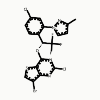 Cc1ccn(-c2cc(Cl)ccc2[C@@H](Oc2nc(Cl)nc3c(Br)csc23)C(F)(F)F)n1